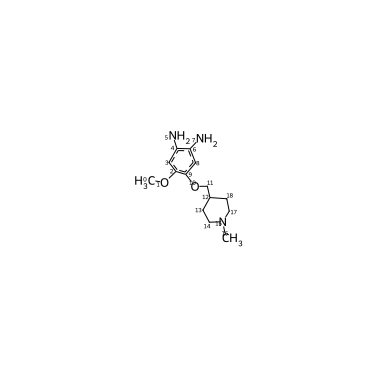 COc1cc(N)c(N)cc1OCC1CCN(C)CC1